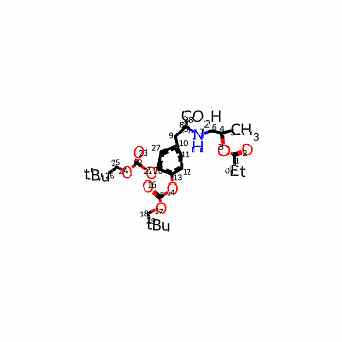 CCC(=O)OC(C)CN[C@@H](Cc1ccc(OC(=O)OCC(C)(C)C)c(OC(=O)OCC(C)(C)C)c1)C(=O)O